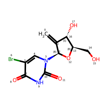 C=C1[C@H](n2cc(Br)c(=O)[nH]c2=O)O[C@H](CO)[C@H]1O